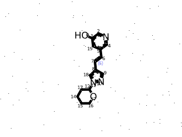 Oc1cncc(/C=C/c2cnn(C3CCCCO3)c2)c1